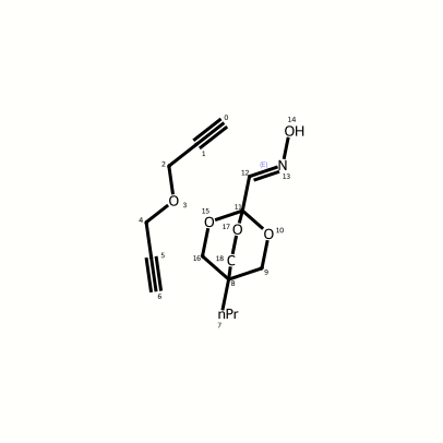 C#CCOCC#C.CCCC12COC(/C=N/O)(OC1)OC2